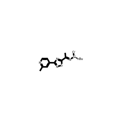 CCCC[S@+]([O-])/N=C(\C)c1nc(-c2ccnc(C)c2)ns1